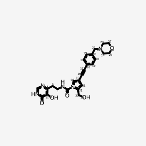 O=C(NCCc1nc[nH]c(=O)c1O)n1cc(C#Cc2ccc(CN3CCOCC3)cc2)cc1CO